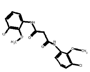 COc1c(Cl)cccc1NC(=O)CC(=O)Nc1cccc(Cl)c1OC